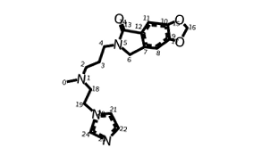 CN(CCCN1Cc2cc3c(cc2C1=O)OCO3)CCn1ccnc1